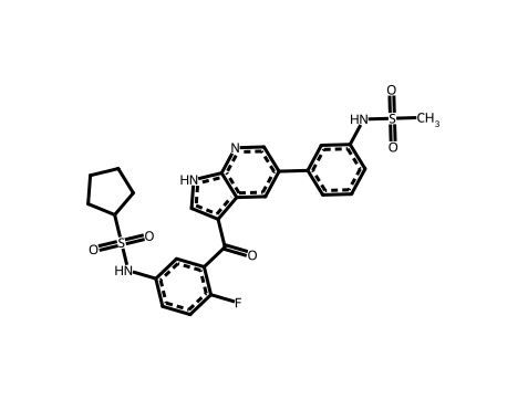 CS(=O)(=O)Nc1cccc(-c2cnc3[nH]cc(C(=O)c4cc(NS(=O)(=O)C5CCCC5)ccc4F)c3c2)c1